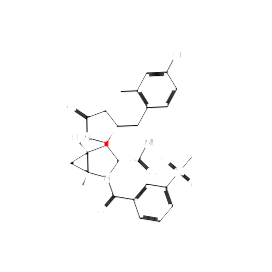 CS(=O)(=O)c1cccc(C(=O)N2[C@@H](C(=O)N[C@@H](c3ccc(C(F)(F)F)cc3F)[C@H]3CNC(=O)C3)C[C@H]3C[C@H]32)c1